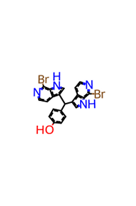 Oc1ccc(C(c2c[nH]c3c(Br)nccc23)c2c[nH]c3c(Br)nccc23)cc1